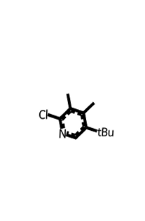 Cc1c(C(C)(C)C)cnc(Cl)c1C